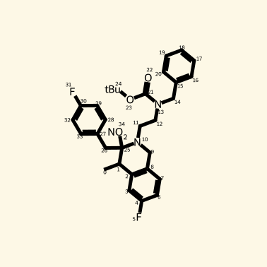 CC1c2cc(F)ccc2CN(CCN(Cc2ccccc2)C(=O)OC(C)(C)C)C1(Cc1ccc(F)cc1)[N+](=O)[O-]